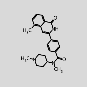 Cc1cccc2c(=O)[nH]c(-c3ccc(C(=O)N(C)C4CCN(C)CC4)cc3)cc12